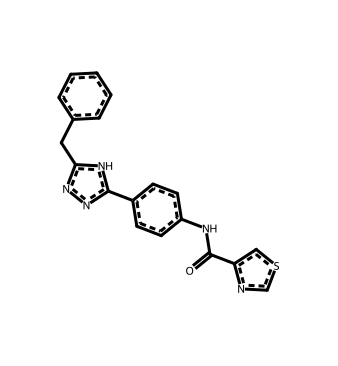 O=C(Nc1ccc(-c2nnc(Cc3ccccc3)[nH]2)cc1)c1cscn1